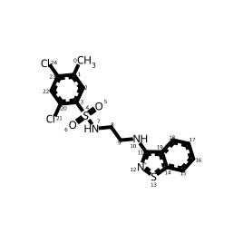 Cc1cc(S(=O)(=O)NCCNc2nsc3ccccc23)c(Cl)cc1Cl